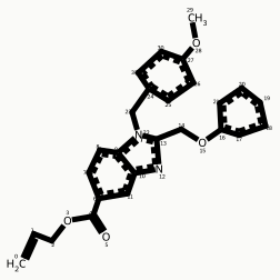 C=CCOC(=O)c1ccc2c(c1)nc(COc1ccccc1)n2Cc1ccc(OC)cc1